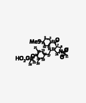 CSc1ccc(C(=O)[C@H]2CN(S(C)(=O)=O)CC2CCc2cc(C)c(OC(C)(C)C(=O)O)c(C)c2)cc1